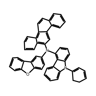 C1=CCCC(n2c3ccccc3c3c(N(c4ccc5oc6ccccc6c5c4)c4cc5c6ccccc6ccc5c5ccccc45)cccc32)=C1